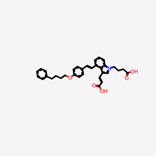 O=C(O)/C=C/c1cn(CCCC(=O)O)c2cccc(C=Cc3ccc(OCCCCc4ccccc4)cc3)c12